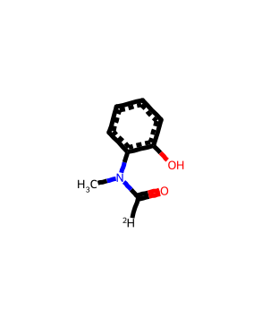 [2H]C(=O)N(C)c1ccccc1O